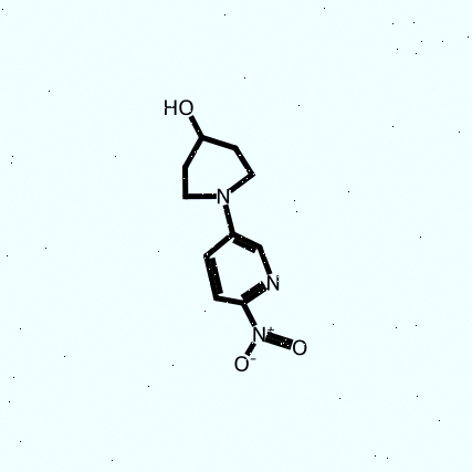 O=[N+]([O-])c1ccc(N2CCC(O)CC2)cn1